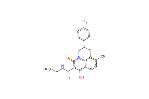 N#Cc1ccc2c(O)c(C(=O)NCC(=O)O)c(=O)n3c2c1OC(c1ccc(C(F)(F)F)cc1)C3